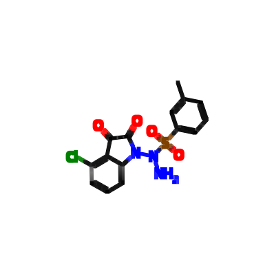 Cc1cccc(S(=O)(=O)N(N)N2C(=O)C(=O)c3c(Cl)cccc32)c1